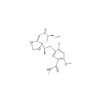 C=CC[C@H]1C[C@]2([C@H](C)Cc3cc(C(=O)NC)c(OC)cc3F)OCOC2=CC1=O